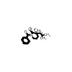 C=C(C)C[C@]1(C)CCCN(C(=O)c2ccccc2)C1=O